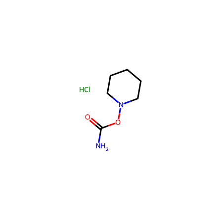 Cl.NC(=O)ON1CCCCC1